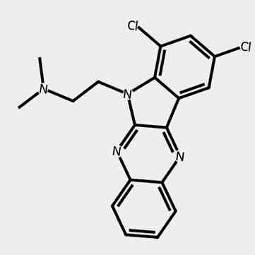 CN(C)CCn1c2nc3ccccc3nc2c2cc(Cl)cc(Cl)c21